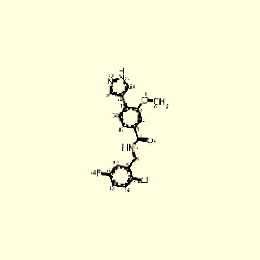 COc1cc(C(=O)NCc2cc(F)ccc2Cl)ccc1-c1cn[nH]c1